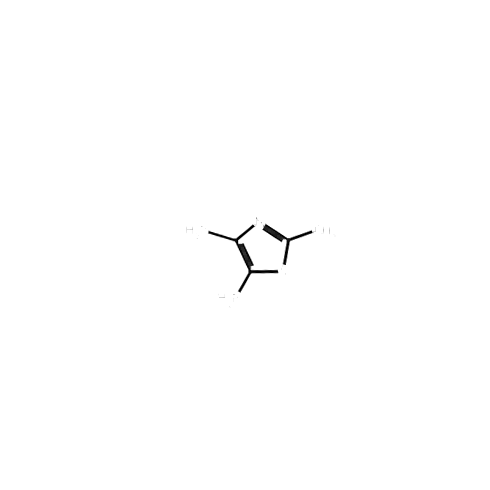 Cc1nc(P)c(P)s1